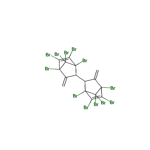 C=C1C(C2C(=C)C3(Br)C(Br)=C(Br)C2(Br)C3(Br)Br)C2(Br)C(Br)=C(Br)C1(Br)C2(Br)Br